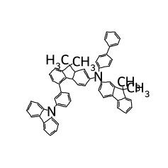 CC1(C)c2ccccc2-c2ccc(N(C3=CC4C(C=C3)c3c(-c5cccc(-n6c7ccccc7c7ccccc76)c5)cccc3C4(C)C)c3ccc(-c4ccccc4)cc3)cc21